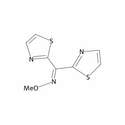 CON=C(c1nccs1)c1nccs1